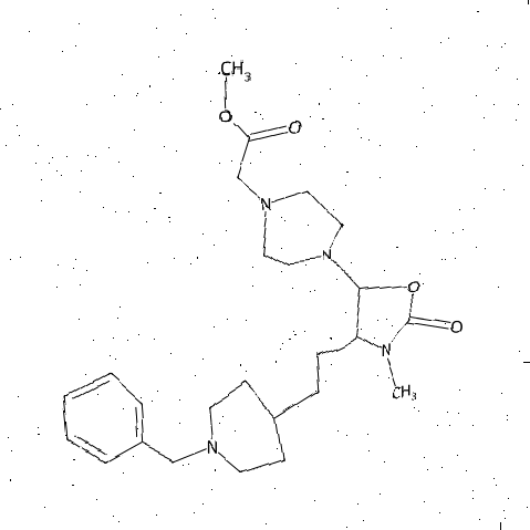 COC(=O)CN1CCN(C2OC(=O)N(C)C2CCC2CCN(Cc3ccccc3)CC2)CC1